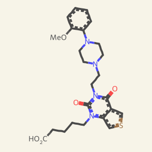 COc1ccccc1N1CCN(CCn2c(=O)c3cscc3n(CCCCC(=O)O)c2=O)CC1